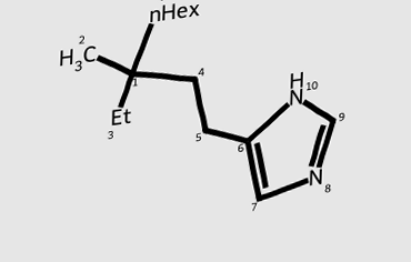 CCCCCCC(C)(CC)CCc1cnc[nH]1